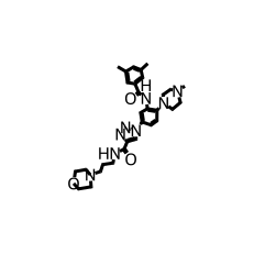 Cc1cc(C)cc(C(=O)Nc2cc(-n3cc(C(=O)NCCCN4CCOCC4)nn3)ccc2N2CCN(C)CC2)c1